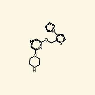 c1ccn(-c2ccsc2COc2cncc(N3CCNCC3)n2)c1